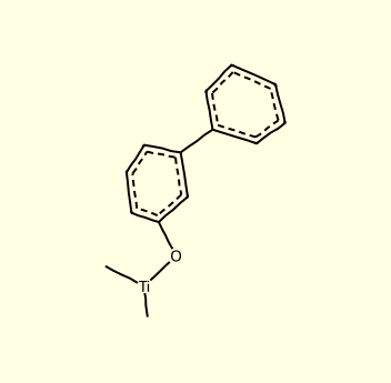 [CH3][Ti]([CH3])[O]c1cccc(-c2ccccc2)c1